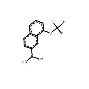 OB(O)c1ccc2cccc(OC(F)(F)F)c2c1